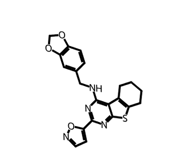 c1cc(-c2nc(NCc3ccc4c(c3)OCO4)c3c4c(sc3n2)CCCC4)on1